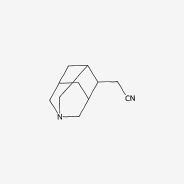 N#CCC1C2CC3CC1CN(C3)C2